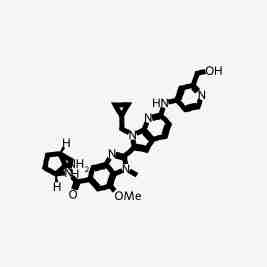 COc1cc(C(=O)N2C[C@H]3CC[C@@H]2[C@@H]3N)cc2nc(-c3cc4ccc(Nc5ccnc(CO)c5)nc4n3CC3CC3)n(C)c12